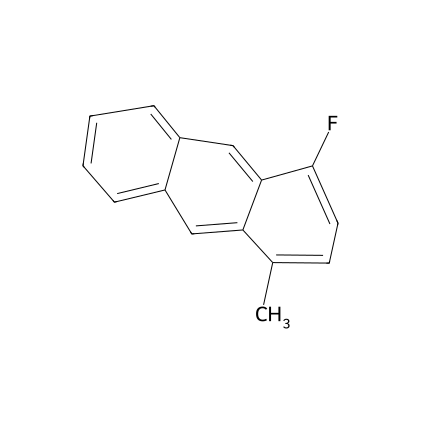 Cc1ccc(F)c2cc3ccccc3cc12